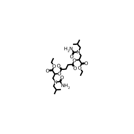 CCOC(=O)C(CN(CC(C)C)C(N)=O)OC(=O)CCC(=O)OC(CN(CC(C)C)C(N)=O)C(=O)OCC